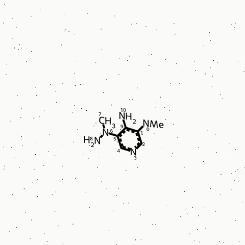 CNc1cncc(N(C)N)c1N